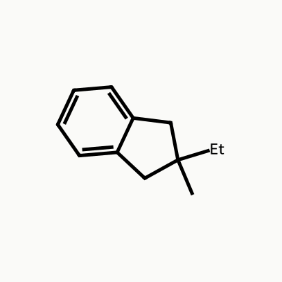 CCC1(C)Cc2ccccc2C1